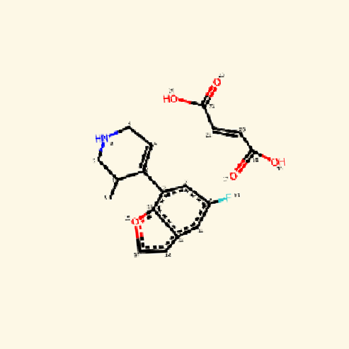 CC1CNCC=C1c1cc(F)cc2ccoc12.O=C(O)C=CC(=O)O